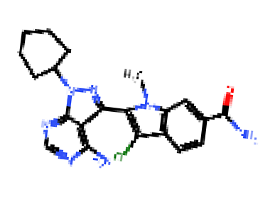 Cn1c(-c2nn(C3CCCCC3)c3ncnc(N)c23)c(Cl)c2ccc(C(N)=O)cc21